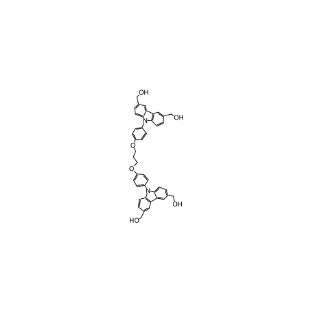 OCc1ccc2c(c1)c1cc(CO)ccc1n2-c1ccc(OCCCOc2ccc(-n3c4ccc(CO)cc4c4cc(CO)ccc43)cc2)cc1